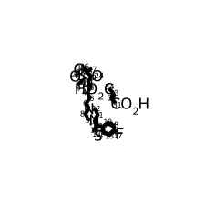 CC1N(CCCCN2CCN(c3csc4cc(F)ccc34)CC2)C(=O)C(C)(C)S1(=O)=O.O=C(O)C=CC(=O)O